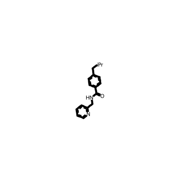 CC(C)Cc1ccc(C(=O)NCc2ccccn2)cc1